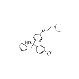 CCN(CC)CCOc1ccc(C(O)(Cc2ccccc2)c2ccc(Cl)cc2)cc1